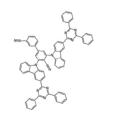 N#Cc1cccc(-c2cc(-n3c4ccccc4c4cc(-c5nc(-c6ccccc6)nc(-c6ccccc6)n5)ccc43)c(C#N)c(-n3c4ccccc4c4cc(-c5nc(-c6ccccc6)nc(-c6ccccc6)n5)ccc43)c2)c1